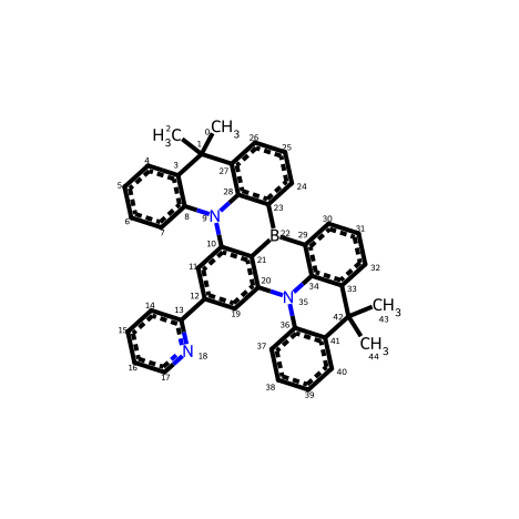 CC1(C)c2ccccc2N2c3cc(-c4ccccn4)cc4c3B(c3cccc1c32)c1cccc2c1N4c1ccccc1C2(C)C